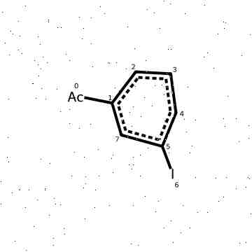 CC(=O)c1cccc(I)c1